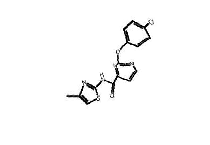 Cc1csc(NC(=O)c2ccnc(Oc3ccc(Cl)cc3)n2)n1